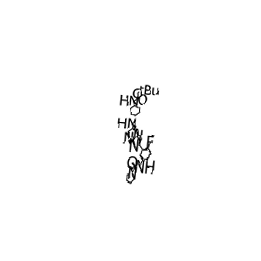 CC(C)(C)OC(=O)N[C@H]1CC[C@H](CNc2cnc3nc(-c4cc(NC(=O)N5CCCC5)ccc4F)cn3c2)CC1